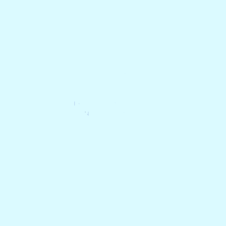 Cc1csc(C(=O)C=CN(C)Cc2ccccc2)c1